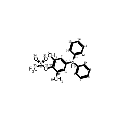 Cc1cc([SH](c2ccccc2)c2ccccc2)cc(C)c1OS(=O)(=O)C(F)(F)F